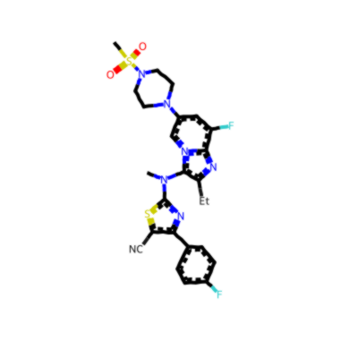 CCc1nc2c(F)cc(N3CCN(S(C)(=O)=O)CC3)cn2c1N(C)c1nc(-c2ccc(F)cc2)c(C#N)s1